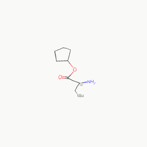 CC(C)(C)C[C@H](N)C(=O)OC1CCCC1